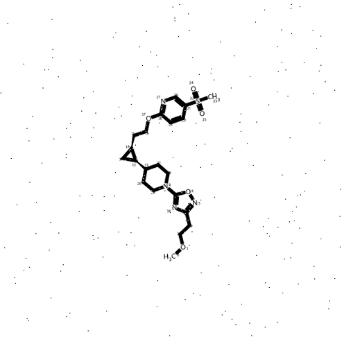 COCCc1noc(N2CCC([C@H]3C[C@H]3CCOc3ccc(S(C)(=O)=O)cn3)CC2)n1